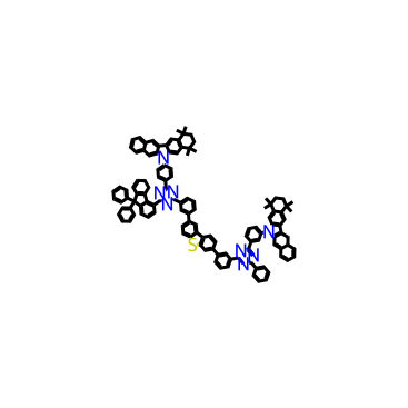 CC1(C)CCC(C)(C)c2cc3c(cc21)c1c(n3-c2cccc(-c3nc(-c4ccccc4)nc(-c4cccc(-c5ccc6c(c5)sc5ccc(-c7cccc(-c8nc(-c9ccc(-n%10c%11cc%12c(cc%11c%11cc%13ccccc%13cc%11%10)C(C)(C)CCC%12(C)C)cc9)nc(-c9cccc%10c9C9=C(C=CCC9)C%10(c9ccccc9)c9ccccc9)n8)c7)cc56)c4)n3)c2)C=C2C=CC=CC2C1